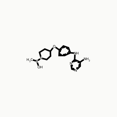 CB(O)N1CCC(Oc2ccc(Nc3ncncc3N)cc2)CC1